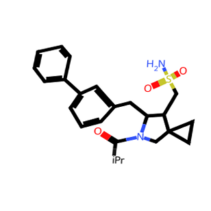 CC(C)C(=O)N1CC2(CC2)C(CS(N)(=O)=O)C1Cc1cccc(-c2ccccc2)c1